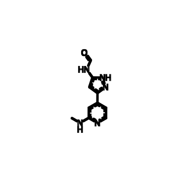 CNc1cc(-c2cc(NC=O)[nH]n2)ccn1